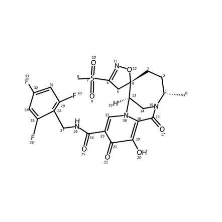 C[C@H]1CC[C@]2(CC(S(C)(=O)=O)=NO2)[C@H]2CN1C(=O)c1c(O)c(=O)c(C(=O)NCc3c(F)cc(F)cc3F)cn12